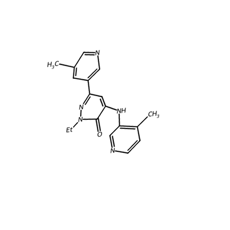 CCn1nc(-c2cncc(C)c2)cc(Nc2cnccc2C)c1=O